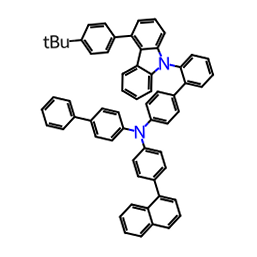 CC(C)(C)c1ccc(-c2cccc3c2c2ccccc2n3-c2ccccc2-c2ccc(N(c3ccc(-c4ccccc4)cc3)c3ccc(-c4cccc5ccccc45)cc3)cc2)cc1